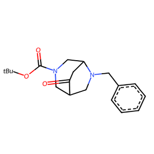 CC(C)(C)OC(=O)N1CC2CN(Cc3ccccc3)C(CC2=O)C1